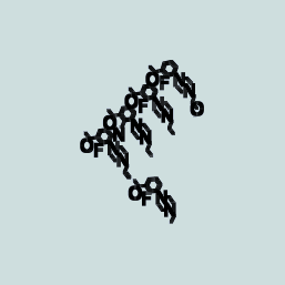 C=CCN1CCN(c2cccc(C(C)=O)c2F)CC1.CCCN1CCN(c2cccc(C(C)=O)c2C#N)CC1.CCCN1CCN(c2cccc(C(C)=O)c2F)CC1.CCN1CCN(c2cccc(C(C)=O)c2F)CC1.COCCN1CCN(c2cccc(C(C)=O)c2F)CC1